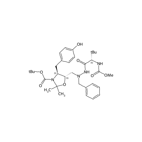 COC(=O)N[C@H](C(=O)NN(Cc1ccccc1)C[C@@H]1OC(C)(C)N(C(=O)OC(C)(C)C)[C@H]1Cc1ccc(O)cc1)C(C)(C)C